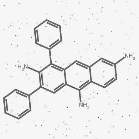 Nc1ccc2c(N)c3cc(-c4ccccc4)c(N)c(-c4ccccc4)c3cc2c1